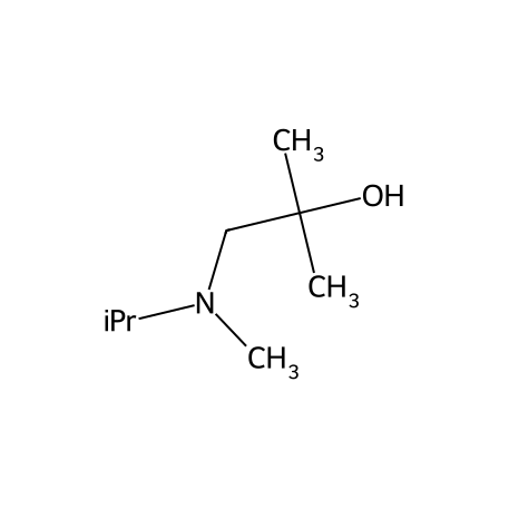 CC(C)N(C)CC(C)(C)O